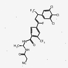 C[C@H](NC(=O)CC#N)NC(=O)c1ccc(/C(F)=C/C(c2cc(Cl)c(Cl)c(Cl)c2)C(F)(F)F)cc1C(F)(F)F